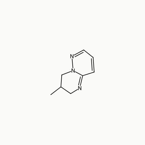 CC1CN=C2C=CC=NN2C1